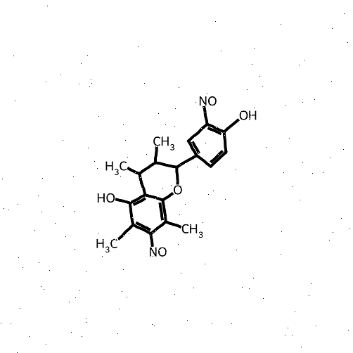 Cc1c(O)c2c(c(C)c1N=O)OC(c1ccc(O)c(N=O)c1)C(C)C2C